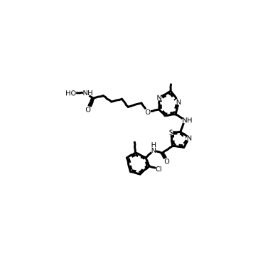 Cc1nc(Nc2ncc(C(=O)Nc3c(C)cccc3Cl)s2)cc(OCCCCCC(=O)NO)n1